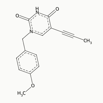 CC#Cc1cn(Cc2ccc(OC)cc2)c(=O)[nH]c1=O